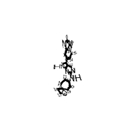 c1nc2cc(-c3c[nH]c4nc(N[C@H]5CC[C@@]6(CCO6)CC5)ncc34)ccn2n1